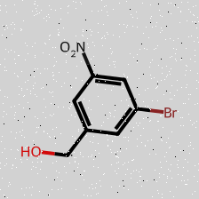 O=[N+]([O-])c1cc(Br)cc([CH]O)c1